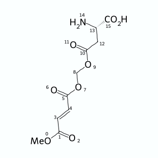 COC(=O)/C=C/C(=O)OCOC(=O)C[C@H](N)C(=O)O